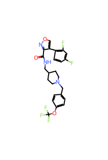 O=C(NCC1CCN(Cc2ccc(OC(F)(F)F)cc2)CC1)c1nocc1-c1ccc(F)cc1F